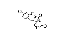 O=C(Cl)CN1C(=O)SC(=Cc2ccc(Cl)cc2Cl)C1=O